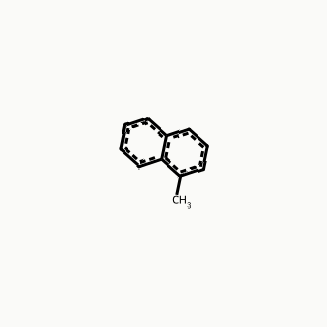 Cc1cccc2ccc[c]c12